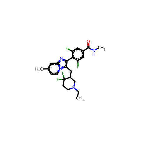 CCN1CCC(F)(F)C(Cc2c(-c3c(F)cc(C(=O)NC)cc3F)nc3cc(C)ccn23)C1